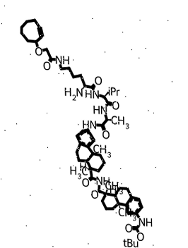 CC(C)[C@H](NC(=O)[C@H](N)CCCCNC(=O)COC1C#CCCCCC1)C(=O)N[C@@H](C)C(=O)Nc1ccc2c(c1)[C@@]1(C)CCC[C@](C)(C(=O)NC(=O)[C@@]3(C)CCC[C@]4(C)c5cc(NC(=O)OC(C)(C)C)ccc5CC[C@@H]34)[C@@H]1CC2